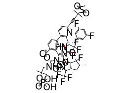 C[C@@H]1Cc2c(C(F)(F)F)nn(CC(=O)N[C@@H](Cc3cc(F)cc(F)c3)c3nc(C#CC(C)(C)S(C)(=O)=O)ccc3-c3ccc(Cl)c4c(N(C(=O)NCC(C)(C)OP(=O)(O)O)S(C)(=O)=O)nn(CC(F)(F)F)c34)c2C1(F)F